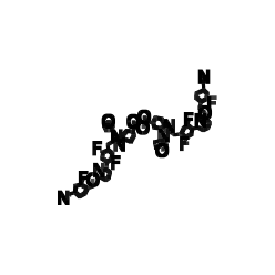 N#Cc1ccc(COc2cccc(-c3cc(F)c(Cc4nc5ccc(C(=O)OC(=O)c6ccc7nc(Cc8cc(F)c(-c9cccc(OCc%10ccc(C#N)cc%10F)n9)cc8F)n(C89COC(C8)C9)c7c6)cc5n4C45COC(C4)C5)cc3F)n2)c(F)c1